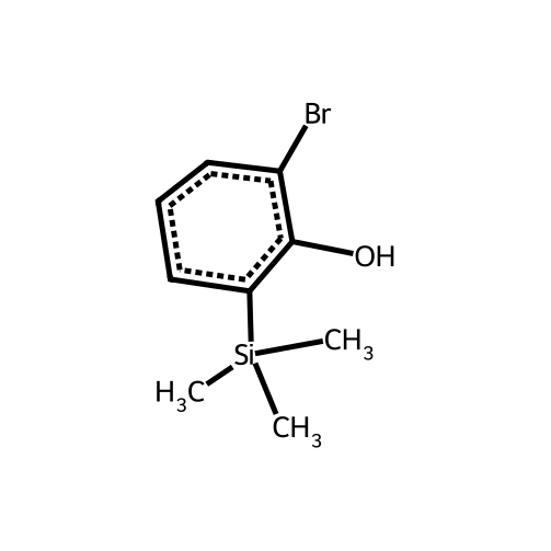 C[Si](C)(C)c1cccc(Br)c1O